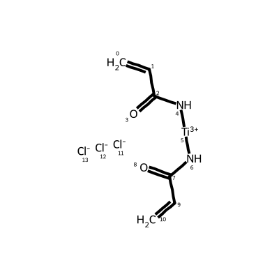 C=CC(=O)[NH][Ti+3][NH]C(=O)C=C.[Cl-].[Cl-].[Cl-]